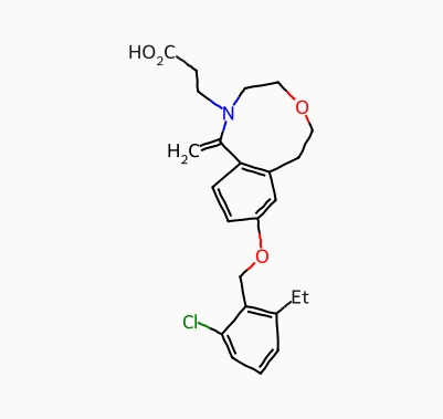 C=C1c2ccc(OCc3c(Cl)cccc3CC)cc2CCOCCN1CCC(=O)O